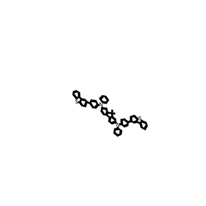 CC1(C)c2cc(N(c3ccccc3)c3ccc(-c4ccc5sc6ccccc6c5c4)cc3)ccc2-c2ccc(N(c3ccccc3)c3ccc(-c4ccc5sc6ccccc6c5c4)cc3)cc21